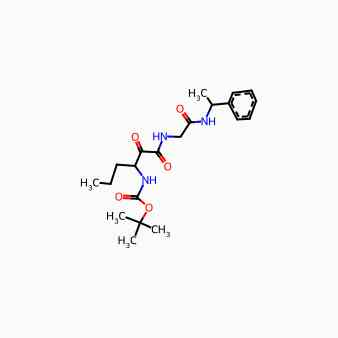 CCCC(NC(=O)OC(C)(C)C)C(=O)C(=O)NCC(=O)NC(C)c1ccccc1